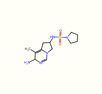 CC1=C2CC(NS(=O)(=O)N3CCCC3)CN2C=NC1N